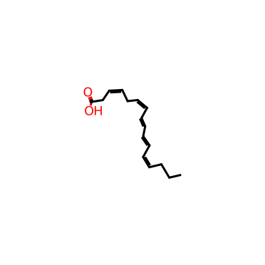 CCC\C=C/C=C/C=C/C=C\C/C=C\CC(=O)O